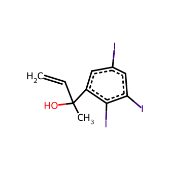 C=CC(C)(O)c1cc(I)cc(I)c1I